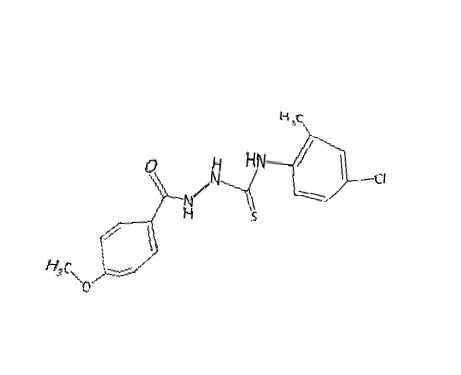 COc1ccc(C(=O)NNC(=S)Nc2ccc(Cl)cc2C)cc1